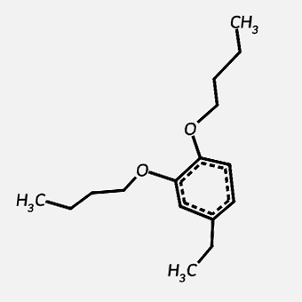 CCCCOc1ccc(CC)cc1OCCCC